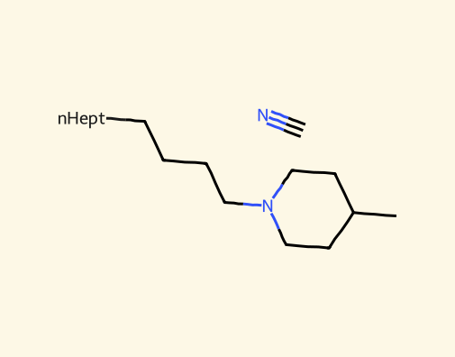 C#N.CCCCCCCCCCCN1CCC(C)CC1